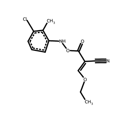 CCOC=C(C#N)C(=O)ONc1cccc(Cl)c1C